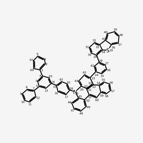 c1ccc(-c2cc(-c3ccccc3)cc(-c3ccc(N(c4ccc(-c5cccc(-c6cccc7c6sc6ccccc67)c5)cc4)c4ccccc4-c4ccc5ccccc5c4)cc3)c2)cc1